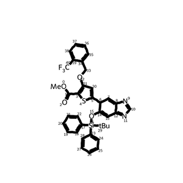 COC(=O)c1sc(C2C=C3N=CN=C3C=C2O[Si](c2ccccc2)(c2ccccc2)C(C)(C)C)cc1OCc1ccccc1C(F)(F)F